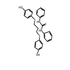 Oc1ccc(SCCCSc2ccc(O)cc2)cc1.S=C(Nc1ccccc1)Nc1ccccc1